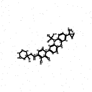 NC1(c2ccc(OC(F)(F)F)c(Oc3ccc(-n4ncc(NC[C@@]5(F)CCCOC5)c(Cl)c4=O)cn3)c2)CC1